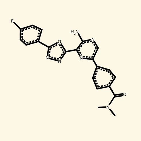 CN(C)C(=O)c1ccc(-c2cnc(N)c(-c3nnc(-c4ccc(F)cc4)o3)n2)cc1